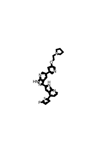 Fc1ccc(-c2ccnc3[nH]c(-c4n[nH]c5ncc(-c6cncc(OCCN7CCCC7)c6)cc45)cc23)s1